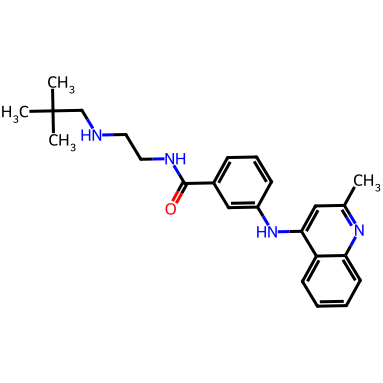 Cc1cc(Nc2cccc(C(=O)NCCNCC(C)(C)C)c2)c2ccccc2n1